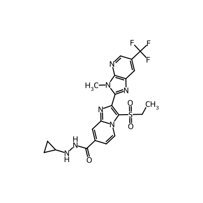 CCS(=O)(=O)c1c(-c2nc3cc(C(F)(F)F)cnc3n2C)nc2cc(C(=O)NNC3CC3)ccn12